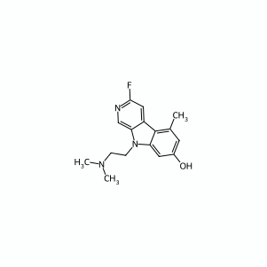 Cc1cc(O)cc2c1c1cc(F)ncc1n2CCN(C)C